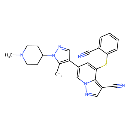 Cc1c(-c2cc(Sc3ccccc3C#N)c3c(C#N)cnn3c2)cnn1C1CCN(C)CC1